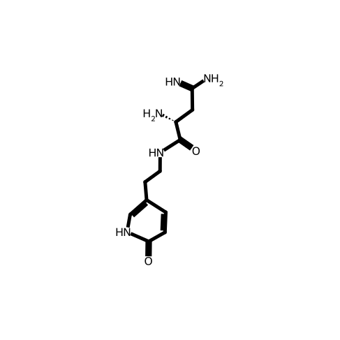 N=C(N)C[C@@H](N)C(=O)NCCc1ccc(=O)[nH]c1